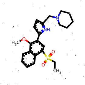 CCS(=O)(=O)c1cc(-c2ccc(CN3CCCCC3)[nH]2)c(OC)c2ccccc12